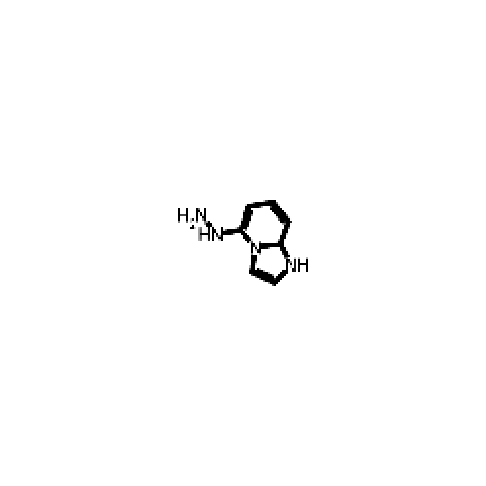 NNC1=CC=CC2NC=CN12